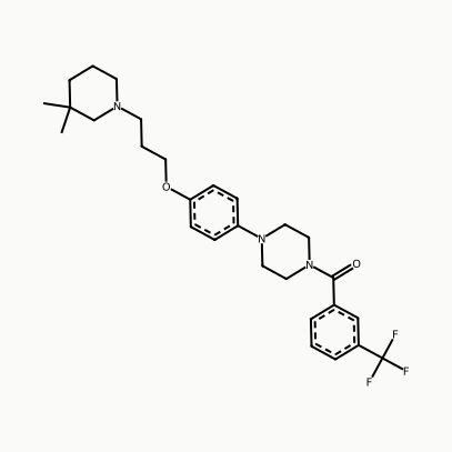 CC1(C)CCCN(CCCOc2ccc(N3CCN(C(=O)c4cccc(C(F)(F)F)c4)CC3)cc2)C1